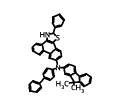 CC1(C)c2ccccc2-c2ccc(N(c3ccc(-c4ccccc4)cc3)c3ccc4c5c(c6ccccc6c4c3)NC(c3ccccc3)S5)cc21